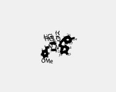 COc1ccc(CN2CCN(C(c3ccc(C)cc3)C(O)c3ccc(C)cc3)CC2)cc1.Cl.Cl